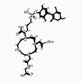 CC1=CC(C)CC(C)=C1c1cc(C)c(OP(=O)(O)OCCC[C@H](C(=O)O)N2CCNCCN(CC(=O)NCC(=O)O)CCN(CC(=O)O)CC2)cc1C